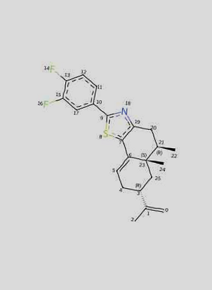 C=C(C)[C@@H]1CC=C2c3sc(-c4ccc(F)c(F)c4)nc3C[C@@H](C)[C@]2(C)C1